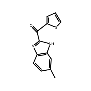 Cc1ccc2nc(C(=O)c3cccs3)[nH]c2c1